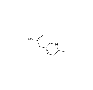 CC1CC=C(CC(=O)O)CN1